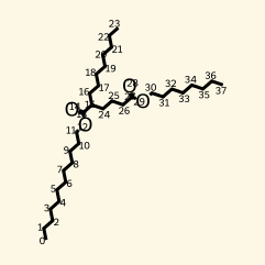 CCCCCCCCCCCCOC(=O)C(CCCCCCCC)CCCC(=O)OCCCCCCCC